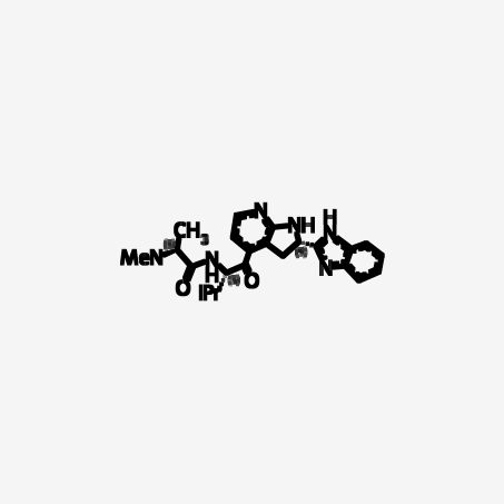 CN[C@@H](C)C(=O)N[C@H](C(=O)c1ccnc2c1C[C@@H](c1nc3ccccc3[nH]1)N2)C(C)C